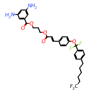 Nc1cc(N)cc(C(=O)OCCCOC(=O)C=Cc2ccc(OC(F)(F)c3ccc(CCCCCC(F)(F)F)cc3)cc2)c1